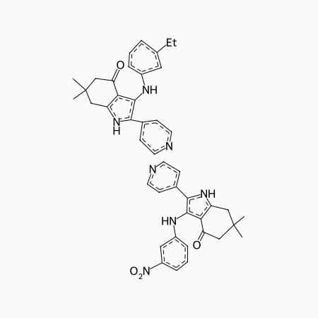 CC1(C)CC(=O)c2c([nH]c(-c3ccncc3)c2Nc2cccc([N+](=O)[O-])c2)C1.CCc1cccc(Nc2c(-c3ccncc3)[nH]c3c2C(=O)CC(C)(C)C3)c1